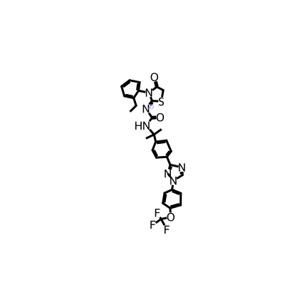 CCc1ccccc1N1C(=O)CS/C1=N\C(=O)NC(C)(C)c1ccc(-c2ncn(-c3ccc(OC(F)(F)F)cc3)n2)cc1